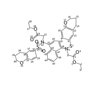 CCOC(=O)CN(Sc1ccc2c(c1)CCCO2)c1ccc(N(CC(=O)OCC)S(=O)(=O)c2ccc3c(c2)CCCO3)c2ccccc12